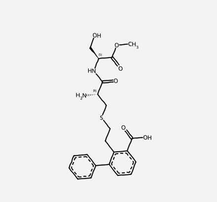 COC(=O)[C@H](CO)NC(=O)[C@@H](N)CSCCc1c(C(=O)O)cccc1-c1ccccc1